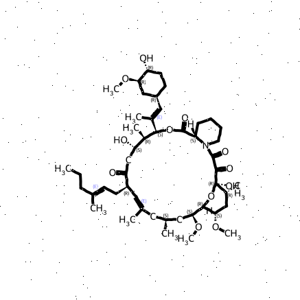 CCC/C(C)=C/C[C@@H]1/C=C(\C)C[C@H](C)C[C@H](OC)[C@H]2O[C@@](O)(C(=O)C(=O)N3CCCC[C@H]3C(=O)O[C@H](/C(C)=C/[C@@H]3CC[C@@H](O)[C@H](OC)C3)[C@H](C)[C@@H](O)CC1=O)[C@H](C)C[C@@H]2OC